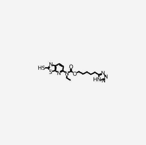 CCN(C(=O)OCCCCCc1nnn[nH]1)c1ccc2nc(S)sc2n1